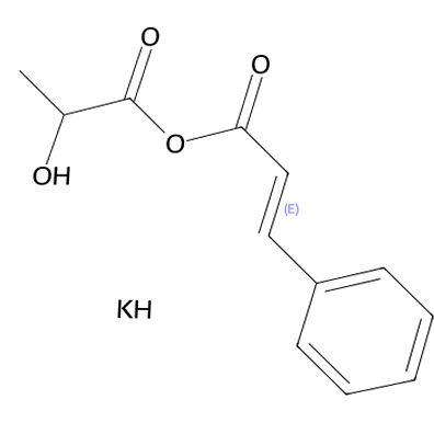 CC(O)C(=O)OC(=O)/C=C/c1ccccc1.[KH]